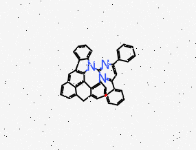 c1ccc(-c2cc(-c3ccccc3)nc(-n3c4ccccc4c4cc5cccc6c5c(c43)-c3ccccc3C6)n2)cc1